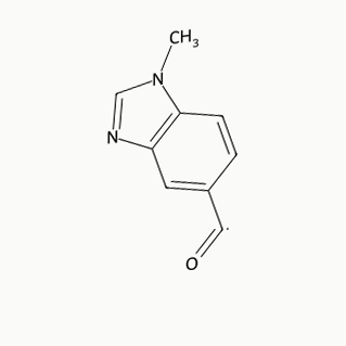 Cn1cnc2cc([C]=O)ccc21